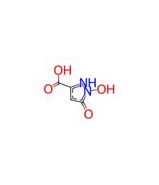 O=C(O)c1cc(=O)n(O)[nH]1